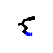 C#CCC(C)CC=N